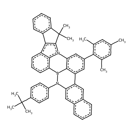 Cc1cc(C)c(-c2cc3c4c(c2)-n2c5c(c6cccc(c62)B4N(c2ccc(C(C)(C)C)cc2)c2cc4ccccc4cc2-3)-c2ccccc2C5(C)C)c(C)c1